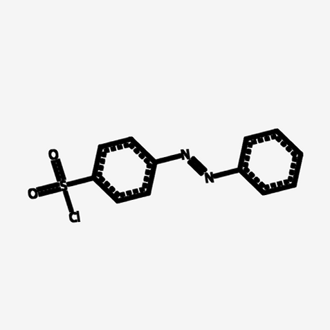 O=S(=O)(Cl)c1ccc(N=Nc2ccccc2)cc1